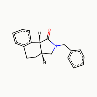 O=C1[C@H]2c3ccccc3CC[C@H]2CN1Cc1ccccc1